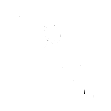 Cc1ccc2oc3c(Br)c2c1-c1cccc-3c1-c1nnnn1CCOC(=O)N[C@H](C(=O)O)C(C)C